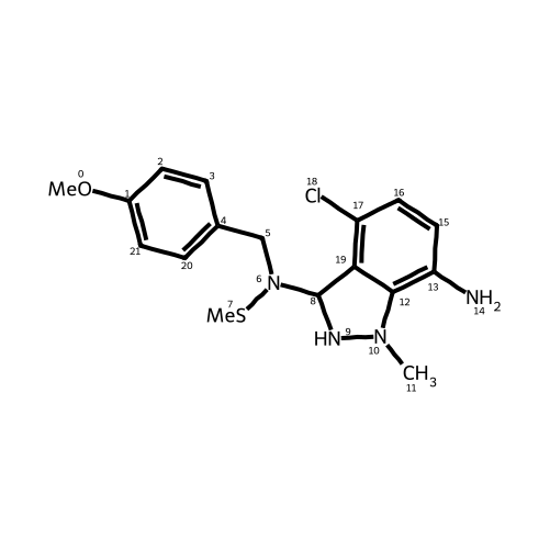 COc1ccc(CN(SC)C2NN(C)c3c(N)ccc(Cl)c32)cc1